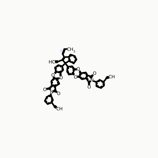 C#CC1=C(/C=C\C)c2ccccc2C1(c1ccc2oc3cc4c(=O)n(-c5cccc(C#C)c5)c(=O)c4cc3oc2c1)c1ccc2oc3cc4c(=O)n(-c5cccc(C#C)c5)c(=O)c4cc3oc2c1